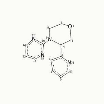 c1ccc(C2COCCN2c2ncccn2)nc1